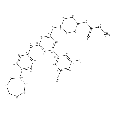 COC(=O)CC1CCN(Cc2cc(Oc3cnc(N4CCCCCC4)nc3)nc(-c3cc(Cl)cc(Cl)c3)c2)CC1